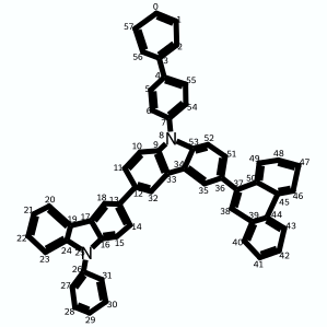 c1ccc(-c2ccc(-n3c4ccc(-c5ccc6c(c5)c5ccccc5n6-c5ccccc5)cc4c4cc(-c5cc6ccccc6c6ccccc56)ccc43)cc2)cc1